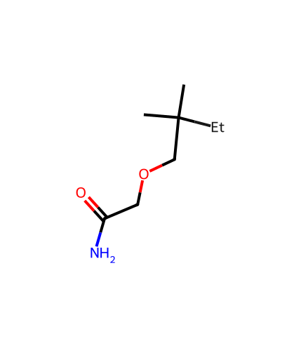 CCC(C)(C)COCC(N)=O